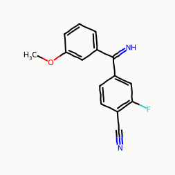 COc1cccc(C(=N)c2ccc(C#N)c(F)c2)c1